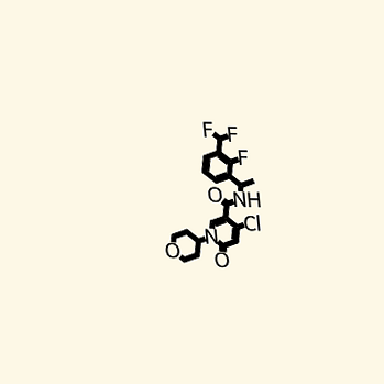 CC(NC(=O)c1cn(C2CCOCC2)c(=O)cc1Cl)c1cccc(C(F)F)c1F